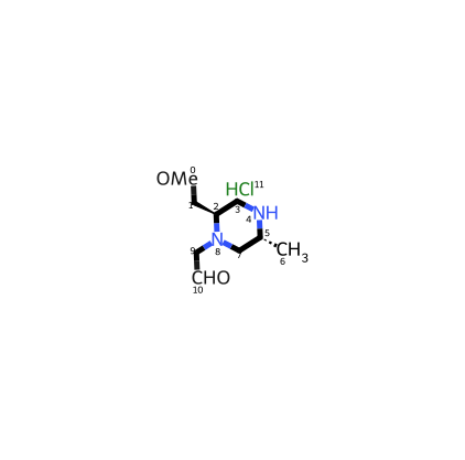 COC[C@H]1CN[C@H](C)CN1CC=O.Cl